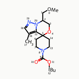 COCC1COC2(CCN(C(=O)OC(C)(C)C)CC2)c2c(C)cnn21